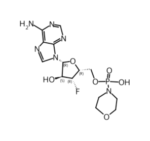 Nc1ncnc2c1ncn2[C@@H]1O[C@H](COP(=O)(O)N2CCOCC2)[C@H](F)[C@H]1O